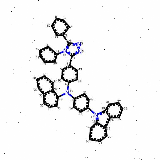 c1ccc(-c2nnc(-c3ccc(N(c4ccc(-n5c6ccccc6c6ccccc65)cc4)c4cccc5ccccc45)cc3)n2-c2ccccc2)cc1